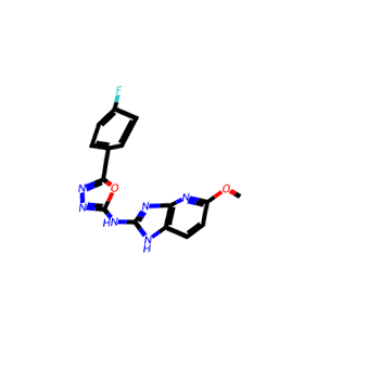 COc1ccc2[nH]c(Nc3nnc(-c4ccc(F)cc4)o3)nc2n1